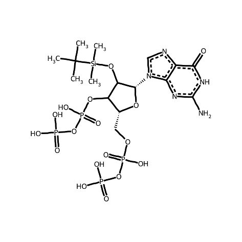 CC(C)(C)[Si](C)(C)OC1C(OP(=O)(O)OP(=O)(O)O)[C@@H](COP(=O)(O)OP(=O)(O)O)O[C@H]1n1cnc2c(=O)[nH]c(N)nc21